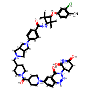 CC1(C)C(NC(=O)c2ccc(N3CC4CN(CC5CCN(C(=O)C6CCN(c7ccc8nnn(C9CCC(=O)NC9=O)c(=O)c8c7)CC6)CC5)CC4C3)cc2)C(C)(C)C1Oc1ccc(C#N)c(Cl)c1